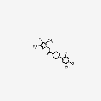 Cc1c(Cl)c(C(F)(F)F)nn1CC(=O)C1CCN(c2cc(O)c(Cl)cc2Cl)CC1